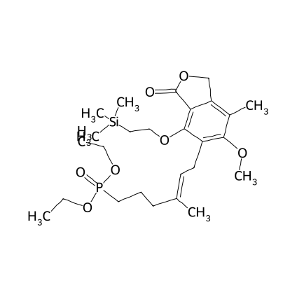 CCOP(=O)(CCC/C(C)=C/Cc1c(OC)c(C)c2c(c1OCC[Si](C)(C)C)C(=O)OC2)OCC